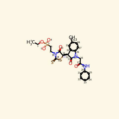 CCOS(=O)(=O)CCN1C(=O)/C(=C2/C(=O)N(CC(=O)Nc3ccccc3)c3ccc(C)cc32)SC1=S